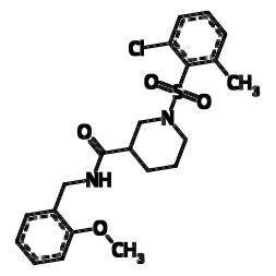 COc1ccccc1CNC(=O)C1CCCN(S(=O)(=O)c2c(C)cccc2Cl)C1